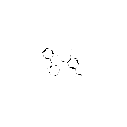 COc1ccc([N+](=O)[O-])cc1CSc1ccccc1C1=NCCCN1